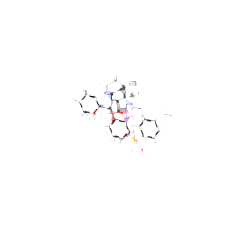 COc1ccc(S(C)(=O)=O)cc1CN[C@H]1[C@H]2CCN(C(C(=O)O)C2)[C@H]1C(c1ccccc1)c1ccccc1